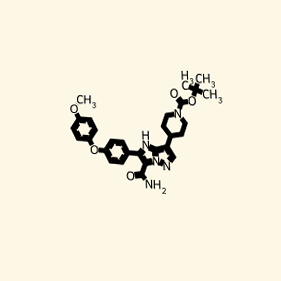 COc1ccc(Oc2ccc(-c3[nH]c4c(C5CCN(C(=O)OC(C)(C)C)CC5)cnn4c3C(N)=O)cc2)cc1